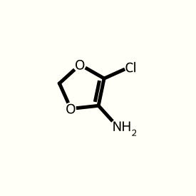 NC1=C(Cl)OCO1